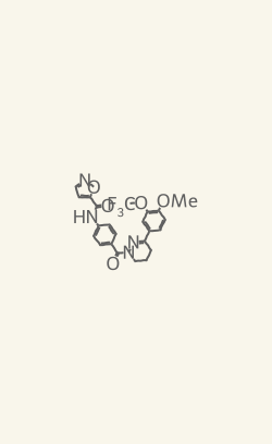 COc1ccc(C2=NN(C(=O)c3ccc(NC(=O)c4ccno4)cc3)CCC2)cc1OC(F)(F)F